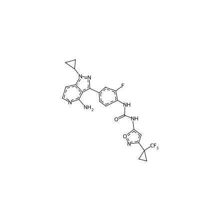 Nc1nccc2c1c(-c1ccc(NC(=O)Nc3cc(C4(C(F)(F)F)CC4)no3)c(F)c1)nn2C1CC1